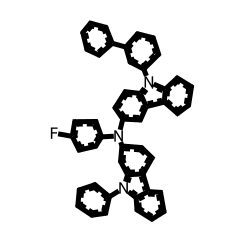 Fc1ccc(N(c2ccc3c(c2)c2ccccc2n3-c2cccc(-c3ccccc3)c2)c2ccc3c4ccccc4n(-c4ccccc4)c3c2)cc1